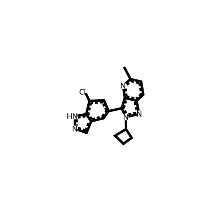 Cc1ccc2nn(C3CCC3)c(-c3cc(Cl)c4[nH]ncc4c3)c2n1